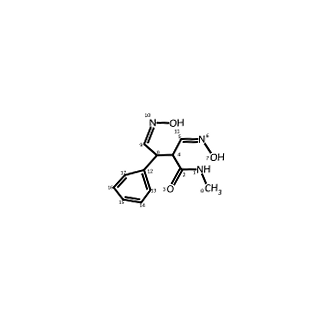 CNC(=O)C(/C=N\O)C(/C=N\O)c1ccccc1